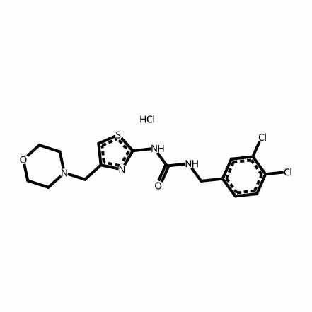 Cl.O=C(NCc1ccc(Cl)c(Cl)c1)Nc1nc(CN2CCOCC2)cs1